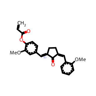 C=CC(=O)Oc1ccc(/C=C2\CCC(=Cc3ccccc3OC)C2=O)cc1OC